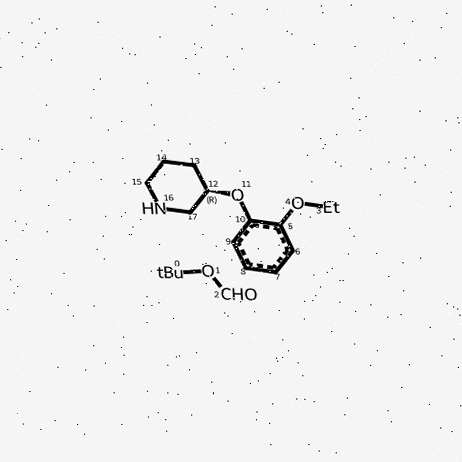 CC(C)(C)OC=O.CCOc1ccccc1O[C@@H]1CCCNC1